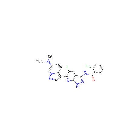 CN(C)c1ccc2c(-c3nc4[nH]nc(NC(=O)c5ccccc5F)c4cc3F)cnn2c1